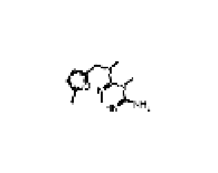 C/N=C(/N(C)Cc1ccc(C)o1)N(C)C(=N)N